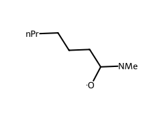 CCCCCCC([O])NC